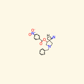 C[C@]1(C#N)CCN(Cc2ccccc2)C[C@H]1OC(=O)c1ccc([N+](=O)[O-])cc1